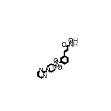 O=C(C=Cc1cccc(S(=O)(=O)N2CCN(c3ncccn3)CC2)c1)NO